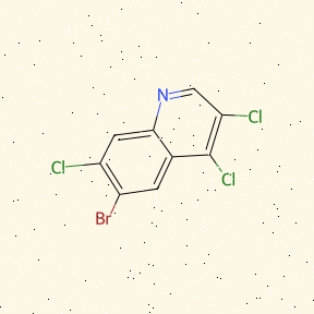 Clc1cc2ncc(Cl)c(Cl)c2cc1Br